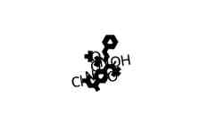 Cc1cc(Cl)nc2cc3c(cc12)OC(C)(C)[C@H](O)[C@H]3N(CCc1ccccc1)C(=O)OC(C)(C)C